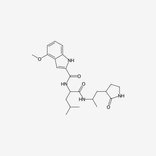 COc1cccc2[nH]c(C(=O)NC(CC(C)C)C(=O)NC(C)CC3CCNC3=O)cc12